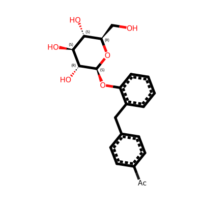 CC(=O)c1ccc(Cc2ccccc2O[C@@H]2O[C@H](CO)[C@@H](O)[C@H](O)[C@H]2O)cc1